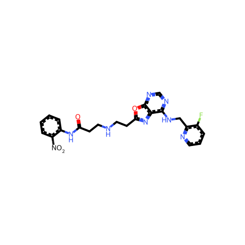 O=C(CCNCCc1nc2c(NCc3ncccc3F)ncnc2o1)Nc1ccccc1[N+](=O)[O-]